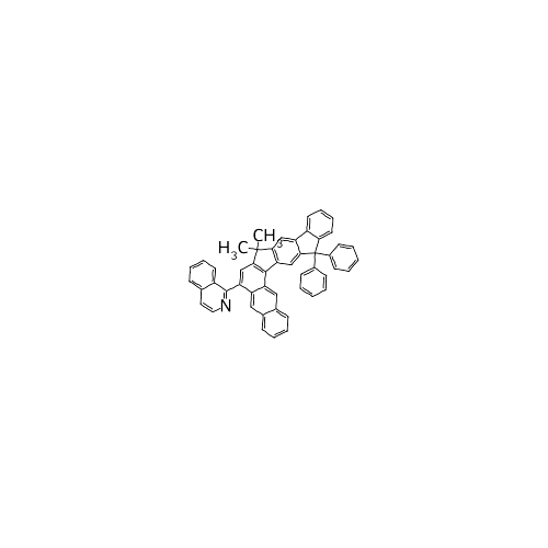 CC1(C)c2cc3c(cc2-c2c1cc(-c1nccc4ccccc14)c1cc4ccccc4cc21)C(c1ccccc1)(c1ccccc1)c1ccccc1-3